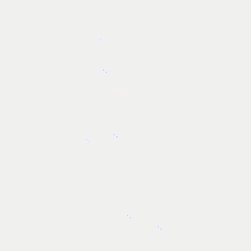 CN1CCN(Cc2ccc(-c3ncc(CC(=O)NCc4cccc(F)n4)cn3)c(F)c2)CC1